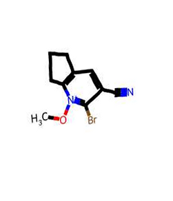 CO[n+]1c(Br)c(C#N)cc2c1CCC2